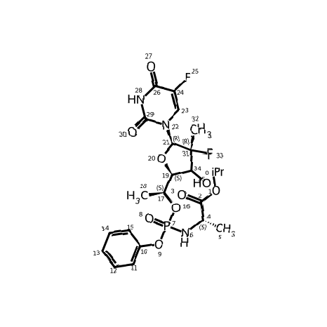 CC(C)OC(=O)[C@H](C)NP(=O)(Oc1ccccc1)O[C@@H](C)[C@H]1O[C@@H](n2cc(F)c(=O)[nH]c2=O)[C@](C)(F)C1O